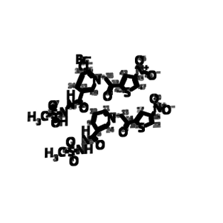 CS(=O)(=O)NNC(=O)c1ccc[n+](CC(=O)c2cc([N+](=O)[O-])cs2)c1.CS(=O)(=O)NNC(=O)c1ccc[n+](CC(=O)c2cc([N+](=O)[O-])cs2)c1.[Br-].[Cl-]